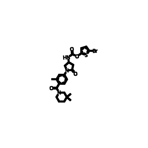 Cc1cc(N2CC(NC(=O)Oc3ccc(Br)s3)CC2=O)ccc1C(=O)N1CCCC(C)(C)C1